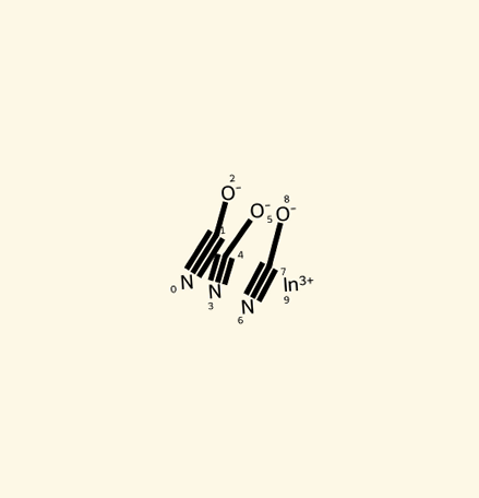 N#C[O-].N#C[O-].N#C[O-].[In+3]